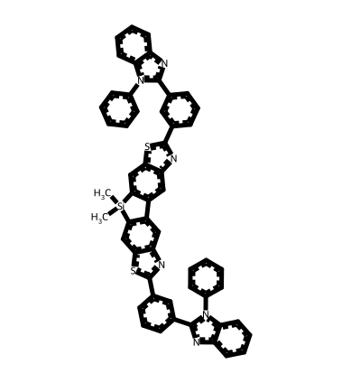 C[Si]1(C)c2cc3sc(-c4cccc(-c5nc6ccccc6n5-c5ccccc5)c4)nc3cc2-c2cc3nc(-c4cccc(-c5nc6ccccc6n5-c5ccccc5)c4)sc3cc21